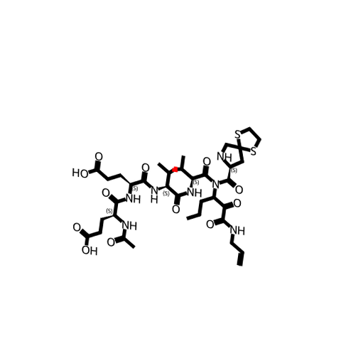 C=CCNC(=O)C(=O)C(CCC)N(C(=O)[C@@H]1CC2(CN1)SCCS2)C(=O)[C@@H](NC(=O)[C@@H](NC(=O)[C@H](CCC(=O)O)NC(=O)[C@H](CCC(=O)O)NC(C)=O)C(C)C)C(C)C